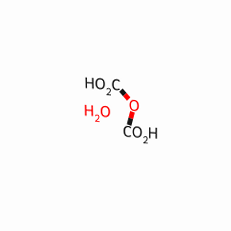 O.O=C(O)OC(=O)O